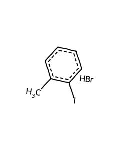 Br.Cc1ccccc1I